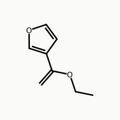 C=C(OCC)c1ccoc1